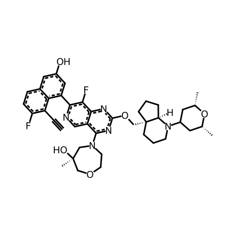 C#Cc1c(F)ccc2cc(O)cc(-c3ncc4c(N5CCOC[C@@](C)(O)C5)nc(OC[C@]56CCC[C@H]5N(C5C[C@@H](C)O[C@@H](C)C5)CCC6)nc4c3F)c12